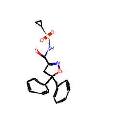 O=C(NS(=O)(=O)C1CC1)C1=NOC(c2ccccc2)(c2ccccc2)C1